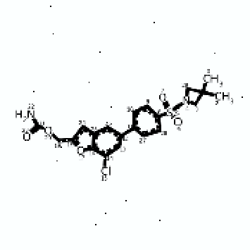 CC1(C)CN(S(=O)(=O)c2ccc(-c3cc(Cl)c4oc(COC(N)=O)cc4c3)cc2)C1